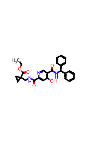 CCOC(=O)C1(CNC(=O)c2cc(O)c(C(=O)NC(c3ccccc3)c3ccccc3)cn2)CC1